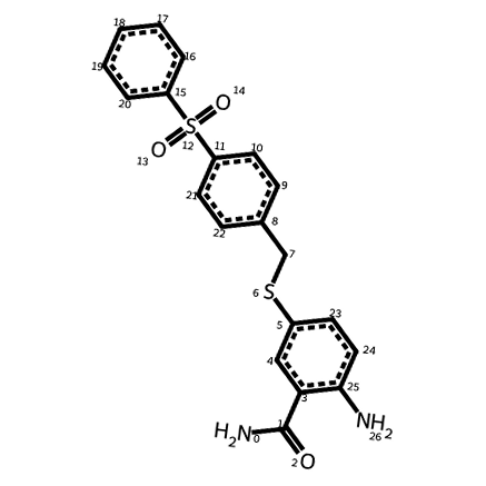 NC(=O)c1cc(SCc2ccc(S(=O)(=O)c3ccccc3)cc2)ccc1N